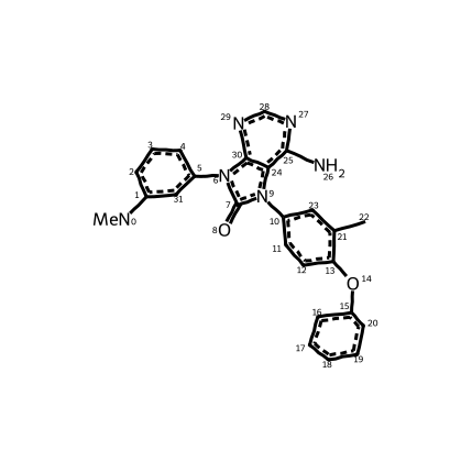 CNc1cccc(-n2c(=O)n(-c3ccc(Oc4ccccc4)c(C)c3)c3c(N)ncnc32)c1